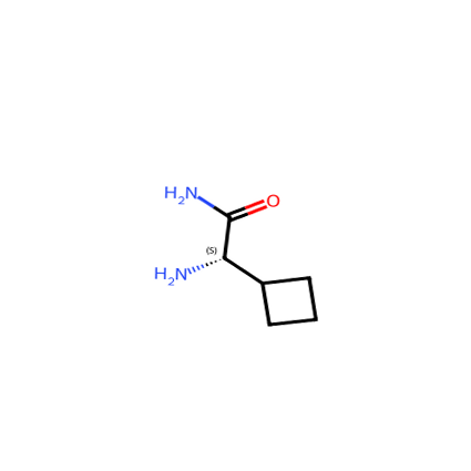 NC(=O)[C@@H](N)C1CCC1